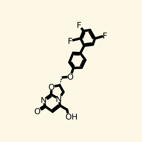 O=c1cc(CO)n2c(n1)O[C@H](COc1ccc(-c3cc(F)cc(F)c3F)cc1)C2